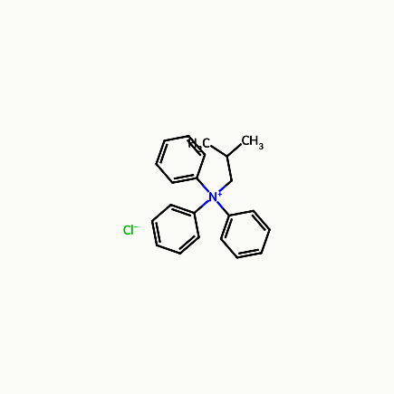 CC(C)C[N+](c1ccccc1)(c1ccccc1)c1ccccc1.[Cl-]